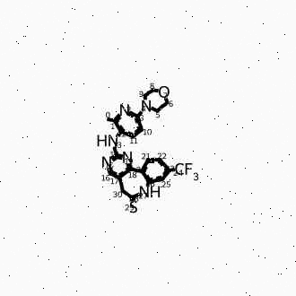 Cc1nc(N2CCOCC2)ccc1Nc1ncc2c(n1)-c1ccc(C(F)(F)F)cc1NC(=S)C2